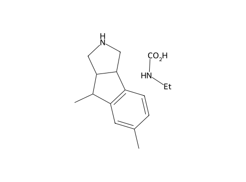 CCNC(=O)O.Cc1ccc2c(c1)C(C)C1CNCC21